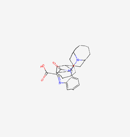 O=C(O)c1nc2ccccc2n(C2CC3CCCC(C2)N3C23CC4CC(CC2C4)C3)c1=O